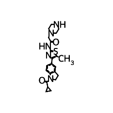 Cc1sc(NC(=O)CN2CCNCC2)nc1-c1ccc2c(c1)CCN2C(=O)C1CC1